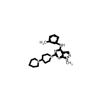 Cc1cccc(Nc2nc(N3CCC(N4CCCCC4)CC3)nc3c2cnn3C)c1